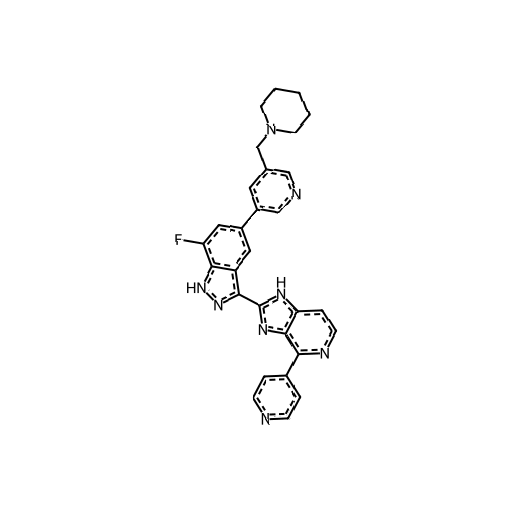 Fc1cc(-c2cncc(CN3CCCCC3)c2)cc2c(-c3nc4c(-c5ccncc5)nccc4[nH]3)n[nH]c12